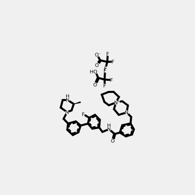 C[C@H]1CN(Cc2cccc(-c3cc(CNC(=O)c4cccc(CN5CC[N+]6(CCCCCC6)CC5)c4)ccc3F)c2)CCN1.O=C(O)C(F)(F)F.O=C([O-])C(F)(F)F